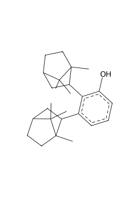 CC1(C)C2CCC1(C)C(c1cccc(O)c1C1CC3CCC1(C)C3(C)C)C2